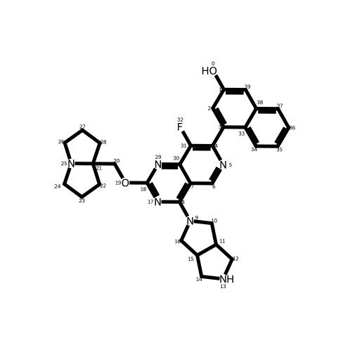 Oc1cc(-c2ncc3c(N4CC5CNCC5C4)nc(OCC45CCCN4CCC5)nc3c2F)c2ccccc2c1